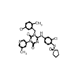 Cc1cncc(-n2c(=O)nc(Nc3ccc(N=S4(=O)CCCC4)c(Cl)c3)n(Cc3cc(Cl)ccc3C)c2=O)c1